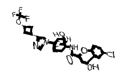 O=C(NC12CCC(n3cnc([C@H]4C[C@@H](OC(F)(F)F)C4)c3)(CC1)C[C@@H]2O)C1CC(O)c2cc(Cl)ccc2O1